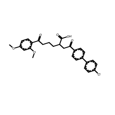 COc1ccc(C(=O)CCCC(CC(=O)c2ccc(-c3ccc(Cl)cc3)cc2)C(=O)O)c(OC)c1